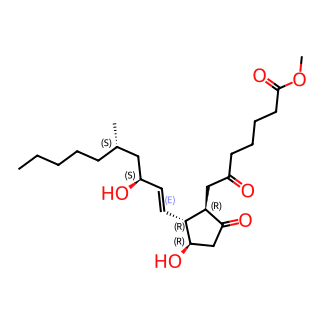 CCCCC[C@H](C)C[C@H](O)/C=C/[C@H]1[C@H](O)CC(=O)[C@@H]1CC(=O)CCCCC(=O)OC